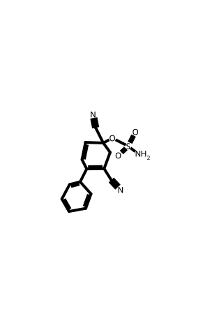 N#CC1=C(c2ccccc2)C=CC(C#N)(OS(N)(=O)=O)C1